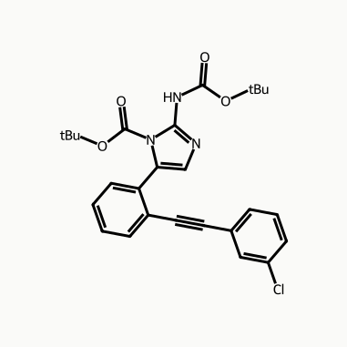 CC(C)(C)OC(=O)Nc1ncc(-c2ccccc2C#Cc2cccc(Cl)c2)n1C(=O)OC(C)(C)C